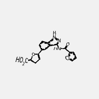 O=C(Nc1n[nH]c2ccc(C3=CCC(C(=O)O)O3)cc12)c1ccco1